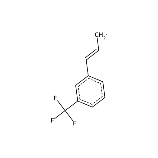 [CH2]C=Cc1cccc(C(F)(F)F)c1